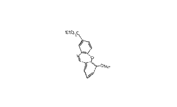 CCOC(=O)c1ccc2c(c1)N=Cc1cccc(OC)c1O2